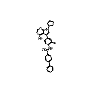 Nc1ncnc2c1c(-c1ccc(N[S+]([O-])c3ccc(-c4ccccc4)cc3)c(F)c1)cn2C1CCCC1